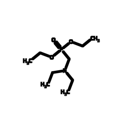 CCOP(=O)(CN(CC)CC)OCC